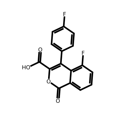 O=C(O)c1oc(=O)c2cccc(F)c2c1-c1ccc(F)cc1